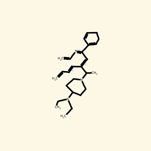 C=C/C=C/C(=C\C(=N/C=C)C1=CCCC=C1)C(C)N1CCC(N(CC)CC)CC1